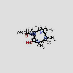 C=CC1=C(C)C2=NC1=CC1=NC(=CC3=C(C)C4=C(O)CC(=C5NC(=C2)[C@@H](C)[C@@H]5CCC(=O)OC)C4=N3)C(CC)=C1C